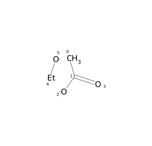 CC([O])=O.CC[O]